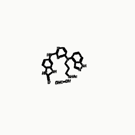 CC(=O)NCCCN(c1ccnc(Nc2ccc3[nH]c(=O)[nH]c3c2)n1)c1cccc2[nH]ncc12.O=CO